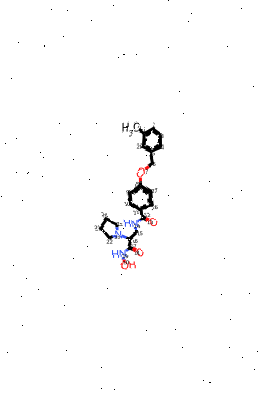 Cc1cccc(COc2ccc(C(=O)NCC(C(=O)NO)N3CCCC3)cc2)c1